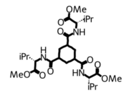 COC(=O)[C@@H](NC(=O)C1CC(C(=O)N[C@H](C(=O)OC)C(C)C)CC(C(=O)N[C@H](C(=O)OC)C(C)C)C1)C(C)C